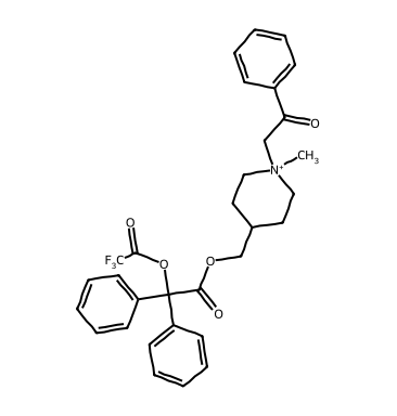 C[N+]1(CC(=O)c2ccccc2)CCC(COC(=O)C(OC(=O)C(F)(F)F)(c2ccccc2)c2ccccc2)CC1